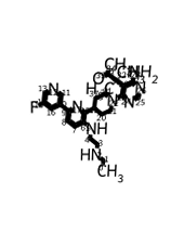 CCNCCNc1ccc(-c2cncc(F)c2)nc1C1CCN(c2ncnc(N)c2C(C)(C)C(C)=O)CC1